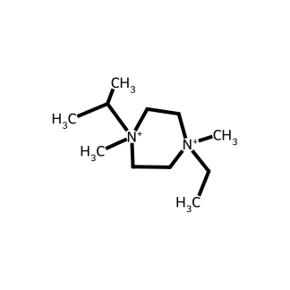 CC[N+]1(C)CC[N+](C)(C(C)C)CC1